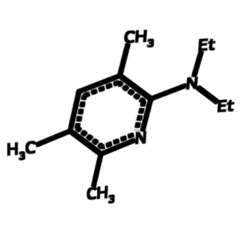 CCN(CC)c1nc(C)c(C)cc1C